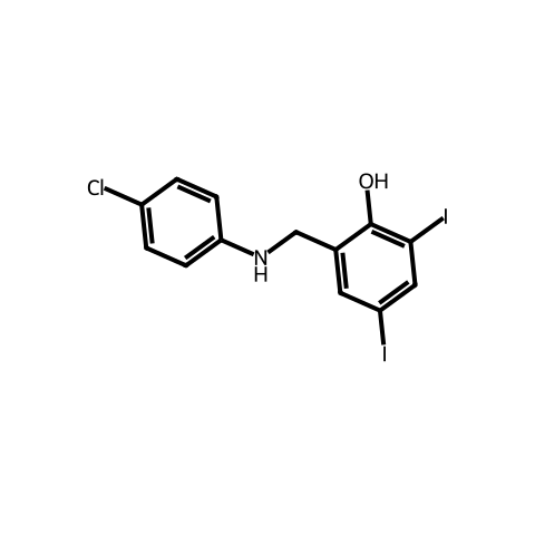 Oc1c(I)cc(I)cc1CNc1ccc(Cl)cc1